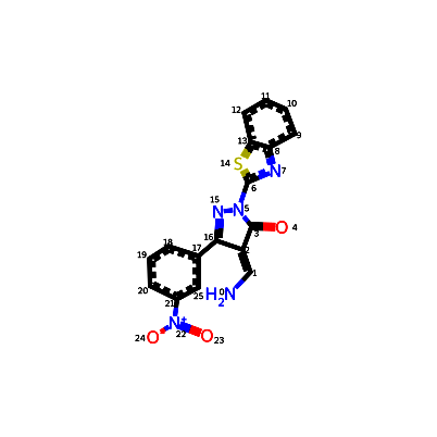 N/C=C1/C(=O)N(c2nc3ccccc3s2)N=C1c1cccc([N+](=O)[O-])c1